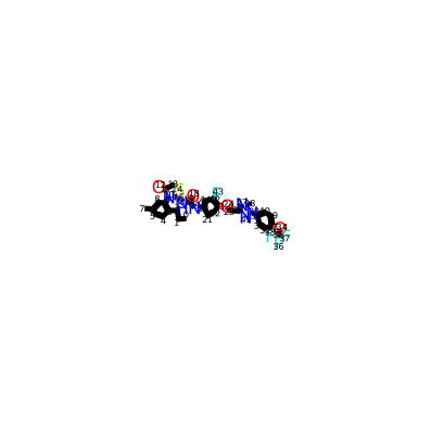 CCCc1ccc(C)cc1N1C(=O)CS/C1=N\C(=O)Nc1ccc(OCc2ncn(-c3ccc(OC(F)(F)F)cc3)n2)c(F)c1